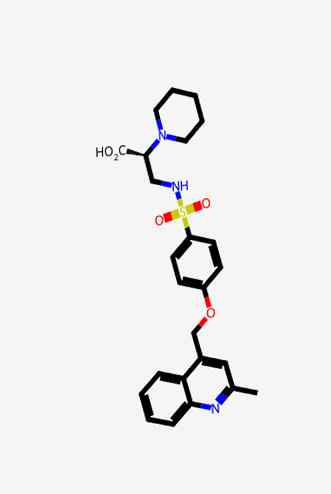 Cc1cc(COc2ccc(S(=O)(=O)NC[C@@H](C(=O)O)N3CCCCC3)cc2)c2ccccc2n1